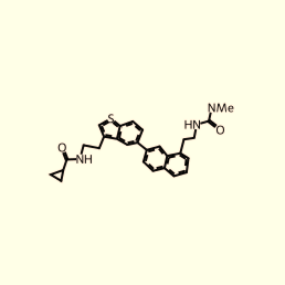 CNC(=O)NCCc1cccc2ccc(-c3ccc4scc(CCNC(=O)C5CC5)c4c3)cc12